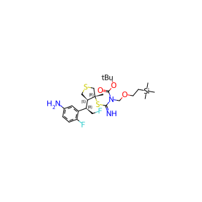 CC(C)(C)OC(=O)N(COCC[Si](C)(C)C)C(=N)S[C@@]1(C)CSC[C@@H]1[C@@H](CF)c1cc(N)ccc1F